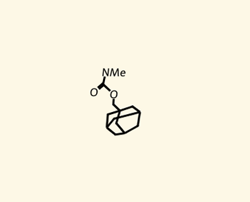 CNC(=O)OCC12CC3CC(CC(C3)C1)C2